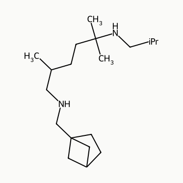 CC(C)CNC(C)(C)CCC(C)CNCC12CCC(C1)C2